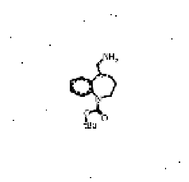 CC(C)(C)OC(=O)N1CCCC(CN)c2ccccc21